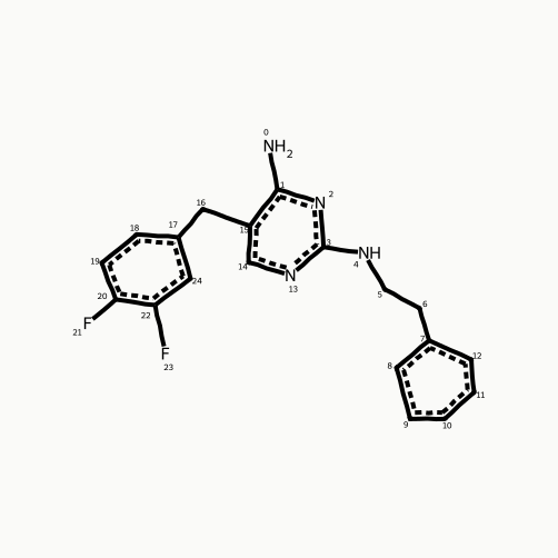 Nc1nc(NCCc2ccccc2)ncc1Cc1ccc(F)c(F)c1